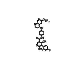 COc1cc2c(Oc3ccc(NC(=O)c4cnc(C)c(-c5ccc(F)cc5)c4O)cc3)ccnc2cn1